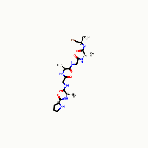 CC[C@H](C)[C@H](NC(=O)CNC(=O)[C@H](C)NC(=O)CNC(=O)[C@@H](NC(=O)[C@@H]1CCCN1)[C@@H](C)CC)C(=O)N[C@@H](CS)C(=O)O